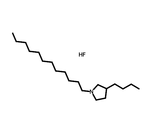 CCCCCCCCCCCCN1CCC(CCCC)C1.F